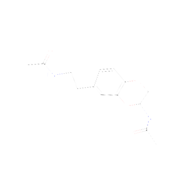 CC(=O)NCCc1ccc2c(c1)OC(NC(C)=O)CO2